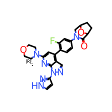 C[C@@H]1COCCN1c1cc(-c2ccc(N3CC4CCC(O4)C3=O)cc2F)c2cnn(-c3cc[nH]n3)c2n1